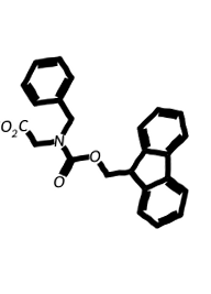 O=C(O)CN(Cc1ccccc1)C(=O)OCC1c2ccccc2-c2ccccc21